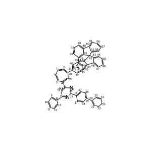 C1=CC=CC(c2nc(-c3ccccc3)nc(-c3ccc(C4=CCCC=C4)cc3)n2)=CC=1c1cccc(-c2cccc3c2C2(c4ccccc4-c4ccccc42)c2ccccc2-3)c1